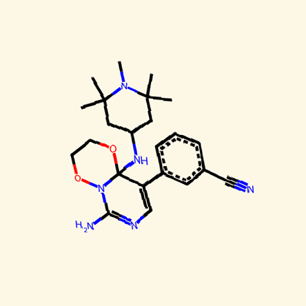 CN1C(C)(C)CC(NC23OCCON2C(N)=NC=C3c2cccc(C#N)c2)CC1(C)C